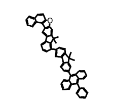 CC1(C)c2ccc(-c3cccc4c3C(C)(C)c3cc5oc6ccc7ccccc7c6c5cc3-4)cc2-c2ccc(-c3c4ccccc4c(-c4ccccc4)c4ccccc34)cc21